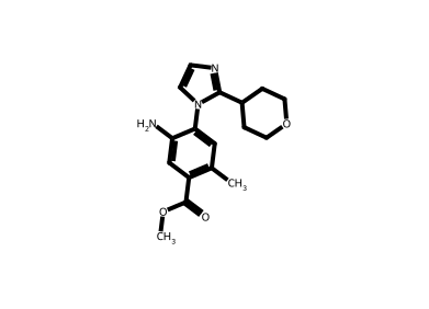 COC(=O)c1cc(N)c(-n2ccnc2C2CCOCC2)cc1C